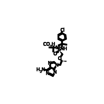 C[C@H](Cn1cnc2c(N)ncnc21)OC[P@@](=O)(NC(C)(C)C(=O)O)NC(C)(C)c1ccc(Cl)cc1